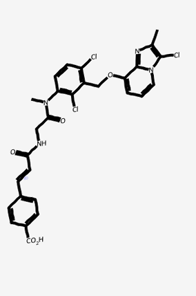 Cc1nc2c(OCc3c(Cl)ccc(N(C)C(=O)CNC(=O)/C=C/c4ccc(C(=O)O)cc4)c3Cl)cccn2c1Cl